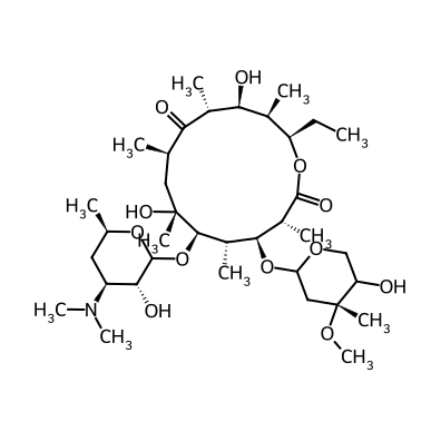 CC[C@H]1OC(=O)[C@H](C)[C@@H](OC2C[C@@](C)(OC)C(O)CO2)[C@H](C)[C@@H](OC2O[C@H](C)C[C@H](N(C)C)[C@H]2O)[C@](C)(O)C[C@@H](C)C(=O)[C@H](C)[C@@H](O)[C@H]1C